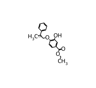 CCOC(=O)c1ccc(OC[C@@H](C)c2ccccc2)c(O)c1